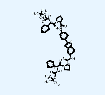 CC(C)(C)OC(=O)N[C@@H](C(=O)N1CCCC1C(=O)Nc1ccc(-c2cc3cc(NC(=O)[C@@H]4CCCN4C(=O)[C@H](NC(=O)OC(C)(C)C)c4ccccc4)ccc3o2)cc1)c1ccccc1